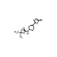 CC(C)(C)OC(=O)NC1CC=C(c2nnc(Br)s2)CC1